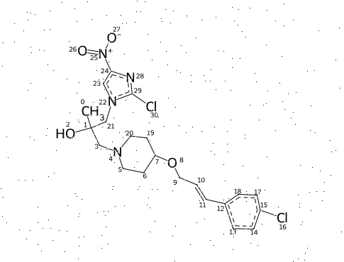 CC(O)(CN1CCC(OCC=Cc2ccc(Cl)cc2)CC1)Cn1cc([N+](=O)[O-])nc1Cl